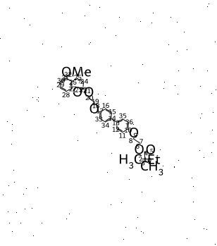 CCC(C)(C)C(=O)OCCOc1ccc(-c2ccc(OCCOC(=O)/C=C\c3ccccc3OC)cc2)cc1